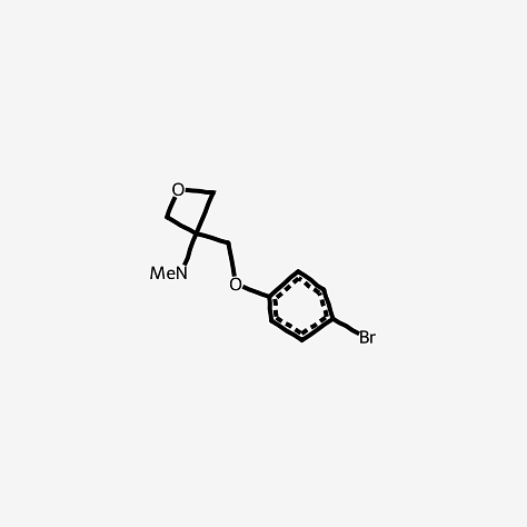 CNC1(COc2ccc(Br)cc2)COC1